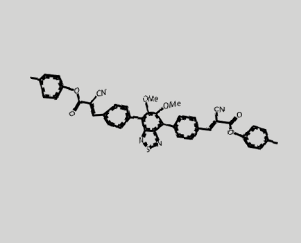 COc1c(OC)c(-c2ccc(/C=C(\C#N)C(=O)Oc3ccc(C)cc3)cc2)c2nsnc2c1-c1ccc(/C=C(\C#N)C(=O)Oc2ccc(C)cc2)cc1